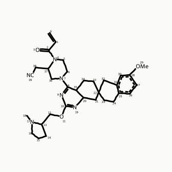 C=CC(=O)N1CCN(C2=NC(OCC3CCCN3C)=NC3CC4(CCc5ccc(OC)cc5C4)CCC23)CC1CC#N